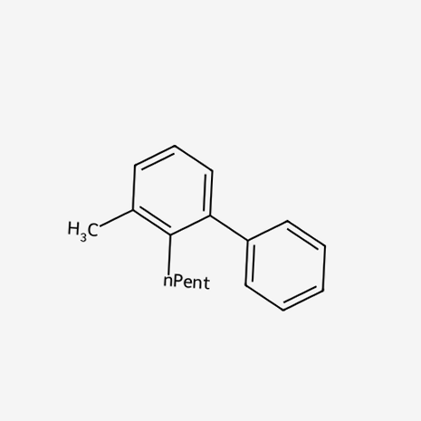 CCCCCc1c(C)cccc1-c1ccccc1